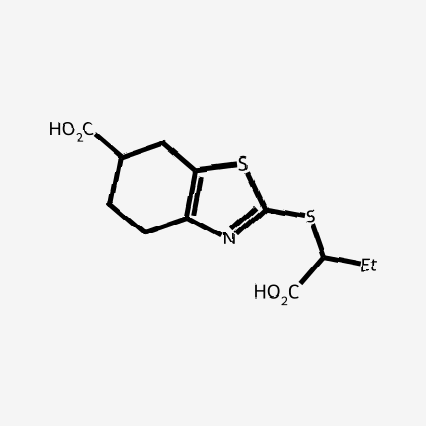 CCC(Sc1nc2c(s1)CC(C(=O)O)CC2)C(=O)O